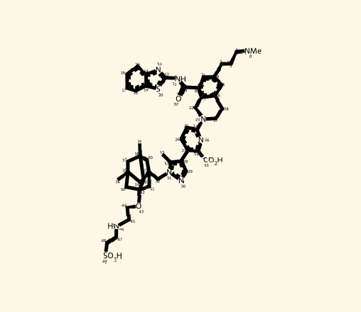 CNCCCc1cc2c(c(C(=O)Nc3nc4ccccc4s3)c1)CN(c1ccc(-c3cnn(CC45CC6(C)CC(C)(C4)CC(OCCNCCS(=O)(=O)O)(C6)C5)c3C)c(C(=O)O)n1)CC2